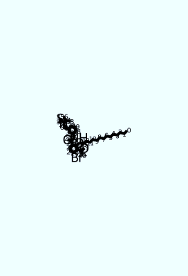 CCCCCCCCCCCCCCOc1c(C(C)=O)cccc1C(=O)Nc1cccc(C[n+]2cscc2C)c1.[Br-]